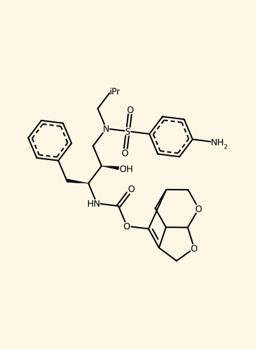 CC(C)CN(C[C@@H](O)[C@H](Cc1ccccc1)NC(=O)OC1=C2COC3OCC1CC23)S(=O)(=O)c1ccc(N)cc1